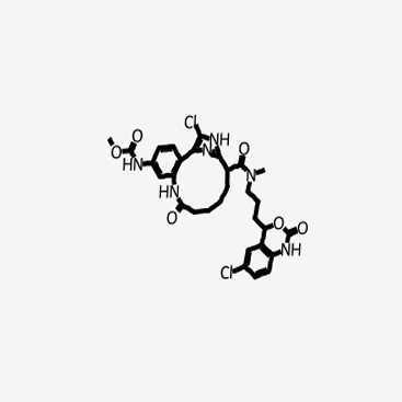 COC(=O)Nc1ccc2c(c1)NC(=O)CCCCC(C(=O)N(C)CCCC1OC(=O)Nc3ccc(Cl)cc31)c1nc-2c(Cl)[nH]1